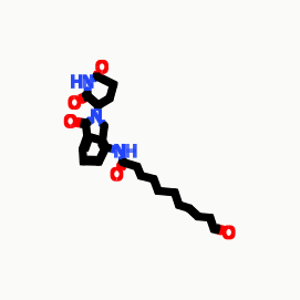 O=CCCCCCCCCCC(=O)Nc1cccc2c1CN(C1CCC(=O)NC1=O)C2=O